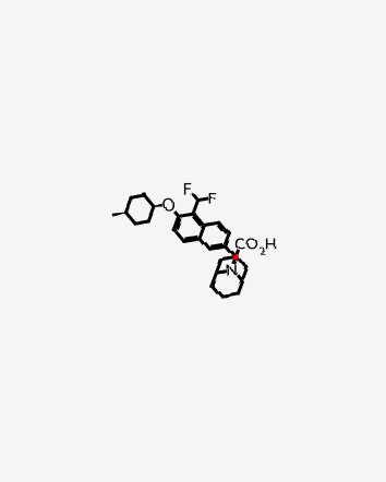 C[C@H]1CC[C@@H](Oc2ccc3cc(CN4C5CCCC4CC(C(=O)O)C5)ccc3c2C(F)F)CC1